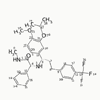 CNC(=O)[C@H](N[C@@H](CCc1ccc(C(F)(F)F)cc1)c1ccc(OC)c(OC(C)C)c1)c1ccccc1